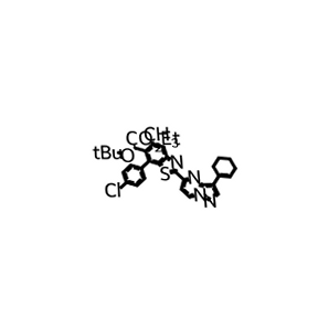 CCOC(=O)[C@@H](OC(C)(C)C)c1c(C)cc2nc(-c3ccn4ncc(C5=CCCCC5)c4n3)sc2c1-c1ccc(Cl)cc1